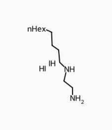 CCCCCCCCCCNCCN.I.I